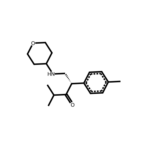 Cc1ccc([C@@H](CNC2CCOCC2)C(=O)C(C)C)cc1